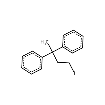 CC(CCI)(c1ccccc1)c1ccccc1